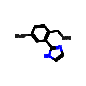 COc1ccc(CSC)c(-c2ncc[nH]2)c1